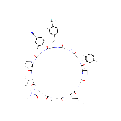 CC[C@H](C)[C@@H]1NC(=O)[C@H](C)N(C)C(=O)C[C@@H](C(=O)N(C)C)N(C)C(=O)[C@H]([C@@H](C)CC)N(C)C(=O)C2(CCCC2)NC(=O)[C@H](Cc2cccc(C#N)c2)N(C)C(=O)[C@H](CCc2ccc(C(F)(F)F)c(Cl)c2)NC(=O)CN(C)C(=O)[C@H](Cc2ccc(C)cc2)N(C)C(=O)[C@@H]2CCN2C(=O)[C@H](C)N(C)C1=O